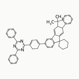 CC1(C)c2ccccc2C2C=C3C(=CC21)c1cc(C2=CC=C(c4nc(-c5ccccc5)nc(-c5ccccc5)n4)CC2)ccc1C31CCCCC1